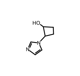 OC1CCC1n1ccnc1